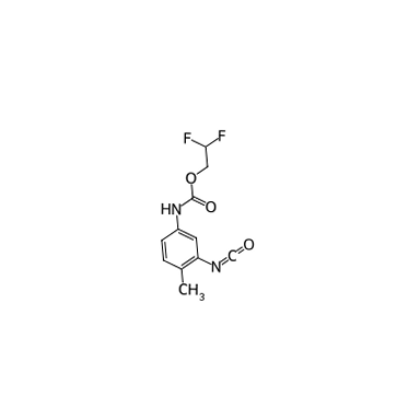 Cc1ccc(NC(=O)OCC(F)F)cc1N=C=O